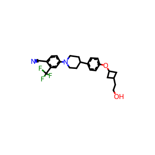 N#Cc1ccc(N2CCC(c3ccc(OC4CC(CCO)C4)cc3)CC2)cc1C(F)(F)F